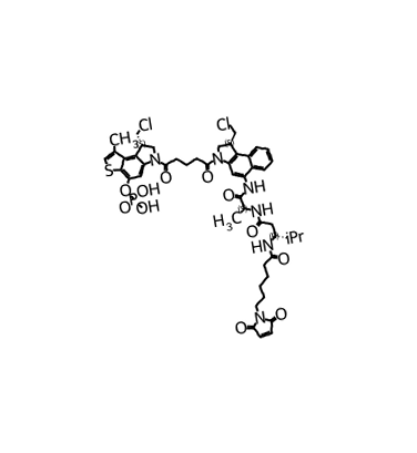 Cc1csc2c(OP(=O)(O)O)cc3c(c12)[C@H](CCl)CN3C(=O)CCCC(=O)N1C[C@@H](CCl)c2c1cc(NC(=O)[C@H](C)NC(=O)C[C@@H](NC(=O)CCCCCN1C(=O)C=CC1=O)C(C)C)c1ccccc21